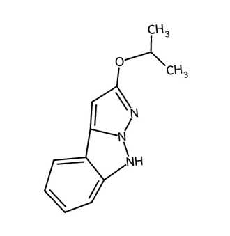 CC(C)Oc1cc2c3ccccc3[nH]n2n1